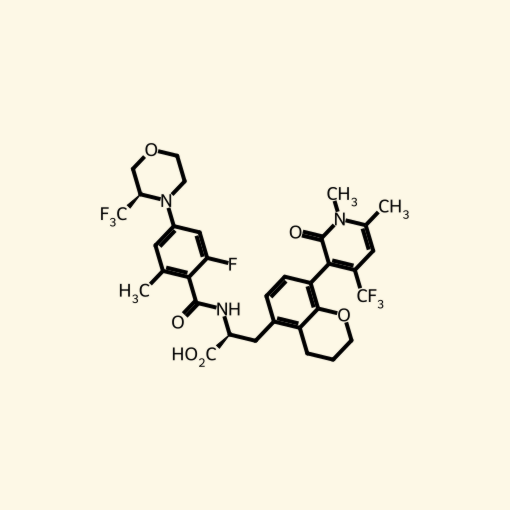 Cc1cc(N2CCOC[C@@H]2C(F)(F)F)cc(F)c1C(=O)N[C@@H](Cc1ccc(-c2c(C(F)(F)F)cc(C)n(C)c2=O)c2c1CCCO2)C(=O)O